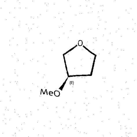 CO[C@@H]1CCOC1